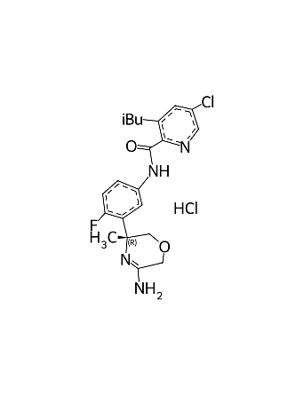 CCC(C)c1cc(Cl)cnc1C(=O)Nc1ccc(F)c([C@]2(C)COCC(N)=N2)c1.Cl